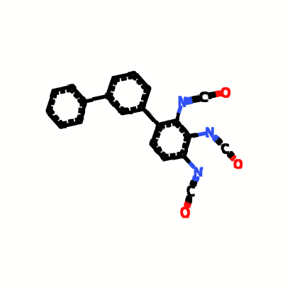 O=C=Nc1ccc(-c2cccc(-c3ccccc3)c2)c(N=C=O)c1N=C=O